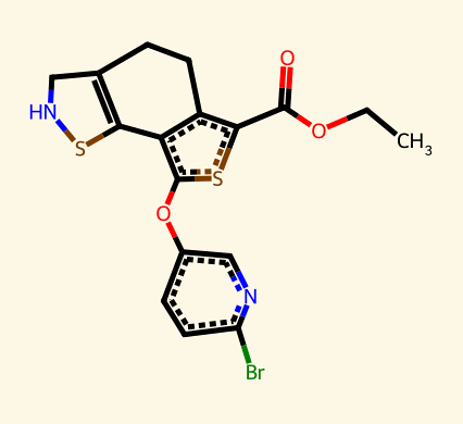 CCOC(=O)c1sc(Oc2ccc(Br)nc2)c2c1CCC1=C2SNC1